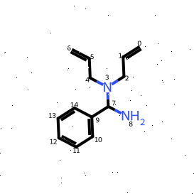 C=CCN(CC=C)C(N)c1ccccc1